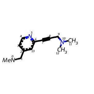 CNCc1ccnc(C#CCN(C)C)c1